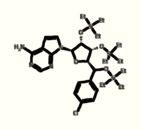 CC[Si](CC)(CC)OC(c1ccc(Cl)cc1)[C@H]1O[C@@H](n2ccc3c(N)ncnc32)[C@H](O[Si](CC)(CC)CC)[C@@H]1O[Si](CC)(CC)CC